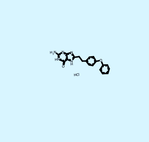 Cl.Nc1nc2nc(CCc3ccc(Oc4ccccc4)cc3)[nH]c2c(=O)[nH]1